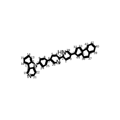 C1=CC(c2ccc(-c3ccc(-n4c5ccccc5c5cnccc54)cc3)cn2)NC=C1c1ccc2c(ccc3ccccc32)c1